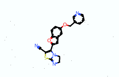 N#CC1=C(c2cc3cc(OCc4cccnc4)ccc3o2)N2CCN=C2S1